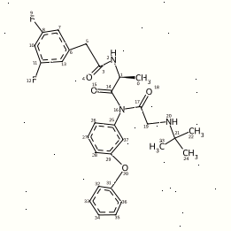 C[C@H](NC(=O)Cc1cc(F)cc(F)c1)C(=O)N(C(=O)CNC(C)(C)C)c1cccc(Oc2ccccc2)c1